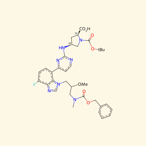 COC(CN(C)C(=O)OCc1ccccc1)Cn1cnc2c(F)ccc(-c3ccnc(N[C@H]4C[C@@H](C(=O)O)N(C(=O)OC(C)(C)C)C4)n3)c21